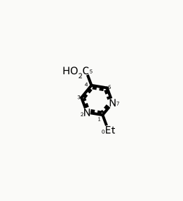 CCc1ncc(C(=O)O)cn1